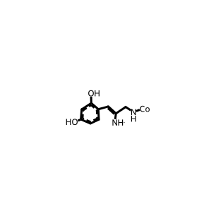 [NH]C(=Cc1ccc(O)cc1O)C[NH][Co]